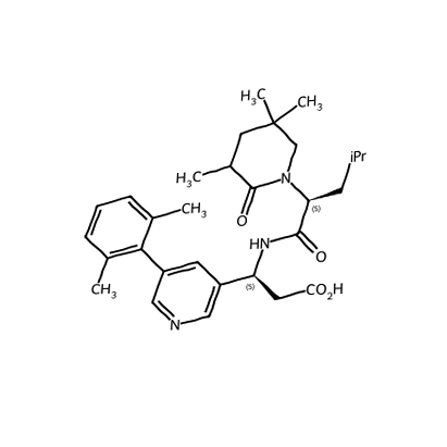 Cc1cccc(C)c1-c1cncc([C@H](CC(=O)O)NC(=O)[C@H](CC(C)C)N2CC(C)(C)CC(C)C2=O)c1